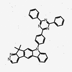 CC1(C)c2cc3c(cc2-c2ccnnc21)c1ccccc1n3-c1ccc(-c2nc(-c3ccccc3)nc(-c3ccccc3)n2)cc1